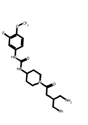 CC(C)CC(CN)CC(=O)N1CCC(NC(=O)Nc2ccc(OC(F)(F)F)c(F)c2)CC1